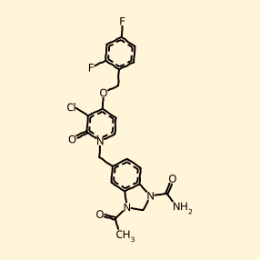 CC(=O)N1CN(C(N)=O)c2ccc(Cn3ccc(OCc4ccc(F)cc4F)c(Cl)c3=O)cc21